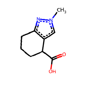 Cn1cc2c(n1)CCCC2C(=O)O